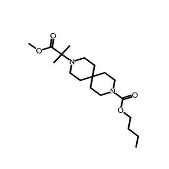 CCCCOC(=O)N1CCC2(CC1)CCN(C(C)(C)C(=O)OC)CC2